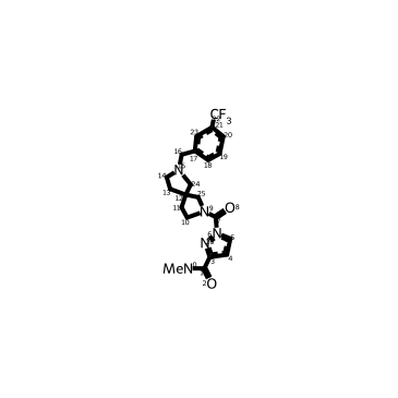 CNC(=O)c1ccn(C(=O)N2CCC3(CCN(Cc4cccc(C(F)(F)F)c4)C3)C2)n1